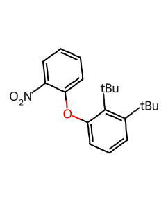 CC(C)(C)c1cccc(Oc2ccccc2[N+](=O)[O-])c1C(C)(C)C